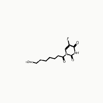 CCCCCCCCCCCCCCCCC(=O)n1cc(F)c(=O)[nH]c1=O